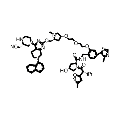 Cc1cc([C@H](C(=O)N2C[C@H](O)C[C@H]2C(=O)NCc2ccc(-c3scnc3C)cc2OCCOCCO[C@@H]2C[C@@H](COc3nc4c(c(N5CCN[C@@H](CC#N)C5)n3)CCN(c3cccc5ccccc35)C4)N(C)C2)C(C)C)on1